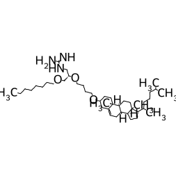 CCCCCCCCOC[C@@H](CNC(=N)N)OCCCCOC1CC[C@@]2(C)C(=CC[C@H]3[C@@H]4CC[C@H]([C@H](C)CCCC(C)C)[C@@]4(C)CC[C@@H]32)C1